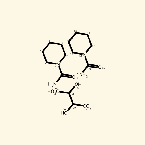 NC(=O)N1CCCCC1.NC(=O)N1CCCCC1.O=C(O)C(O)C(O)C(=O)O